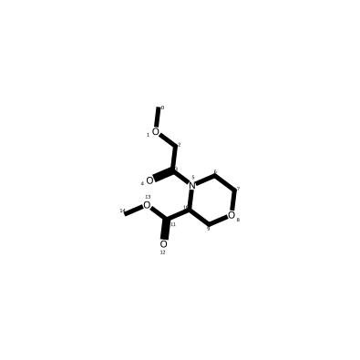 COCC(=O)N1CCOCC1C(=O)OC